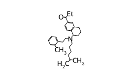 C=C(C)CCCCN(CCc1ccccc1C)C1CCCc2cc(C(=O)CC)ccc21